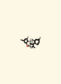 Cc1cc(F)c(Nc2c(-c3ccc(F)cc3Cl)c(C)nn2C)c(Cl)c1